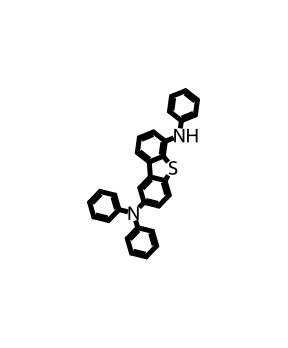 c1ccc(Nc2cccc3c2sc2ccc(N(c4ccccc4)c4ccccc4)cc23)cc1